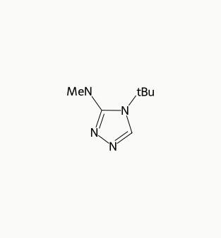 CNc1nncn1C(C)(C)C